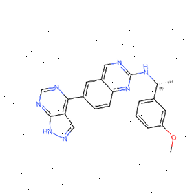 COc1cccc([C@@H](C)Nc2ncc3cc(-c4ncnc5[nH]ncc45)ccc3n2)c1